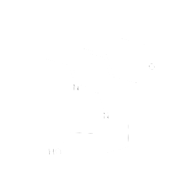 Cc1cc2c(c(N3CCCC3CO)n1)COCC2